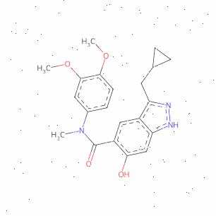 COc1ccc(N(C)C(=O)c2cc3c(CC4CC4)n[nH]c3cc2O)cc1OC